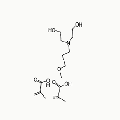 C=C(C)C(=O)O.C=C(C)C(=O)O.COCCCN(CCO)CCO